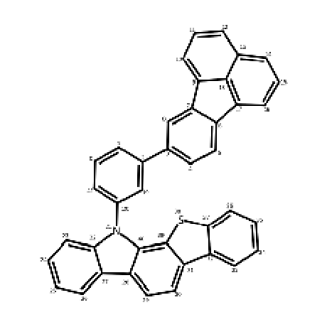 c1cc(-c2ccc3c(c2)-c2cccc4cccc-3c24)cc(-n2c3ccccc3c3ccc4c5ccccc5sc4c32)c1